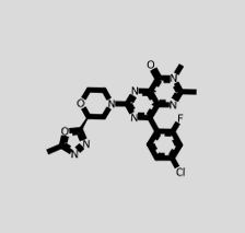 Cc1nnc([C@@H]2CN(c3nc(-c4ccc(Cl)cc4F)c4nc(C)n(C)c(=O)c4n3)CCO2)o1